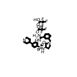 N=C(N)c1cccc(CN2CC[C@H](NS(=O)(=O)c3ccc(-c4ccncc4)cc3)C2=O)c1.O=C(O)C(F)(F)F.O=C(O)C(F)(F)F